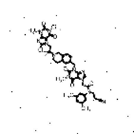 Cc1cc(C)cc(N(CCC#N)C(=O)Cn2cnc3c2c(=O)n(C)c(=O)n3Cc2ccc3c(c2)CCN(C(=O)Cn2c(Cl)nc4c2c(=O)n(C)c(=O)n4C)C3)c1